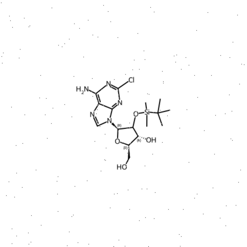 CC(C)(C)[Si](C)(C)OC1[C@H](n2cnc3c(N)nc(Cl)nc32)O[C@H](CO)[C@H]1O